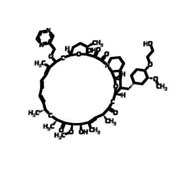 CO[C@@H]1C[C@H](CC2[C@H]3CCCN4C(=O)C(=O)[C@]5(O)O[C@@H](CC[C@H]5C)CC(OCc5cnccn5)/C(C)=C/C=C/C=C/[C@@H](C)C[C@@H](C)C(=O)[C@H](OC)[C@H](O)/C(C)=C/[C@@H](C)C(=O)C[C@@H]2OC(=O)C34)CC[C@H]1OCCO